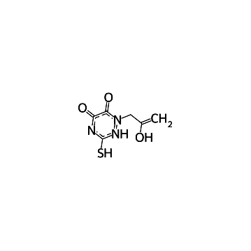 C=C(O)Cn1[nH]c(S)nc(=O)c1=O